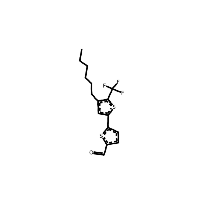 CCCCCCc1cc(-c2ccc(C=O)s2)sc1C(F)(F)F